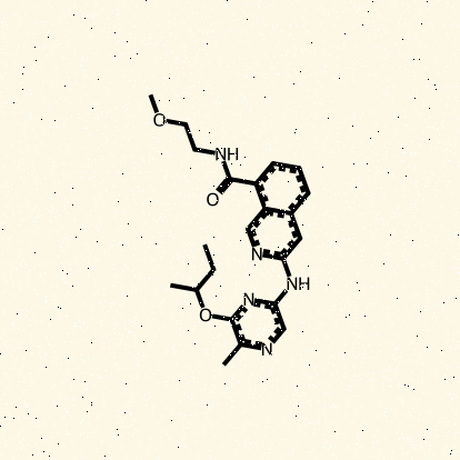 CCC(C)Oc1nc(Nc2cc3cccc(C(=O)NCCOC)c3cn2)cnc1C